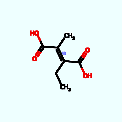 CC/C(C(=O)O)=C(/C)C(=O)O